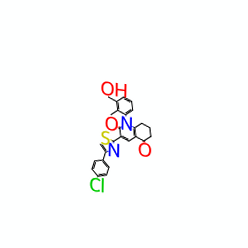 Cc1c(CO)cccc1-n1c2c(cc(-c3nc(-c4ccc(Cl)cc4)cs3)c1=O)C(=O)CCC2